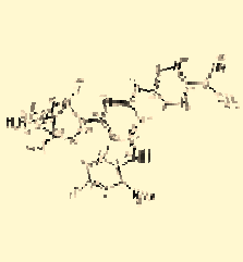 CNc1cc(F)cc2c1[nH]c1nc(Oc3cnc(C(C)O)nc3)nc(N3C[C@H]4[C@@H](C)[C@@H]3C[C@H]4N)c12